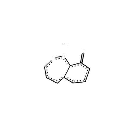 Cl.O=c1cccc2cccnnc1-2